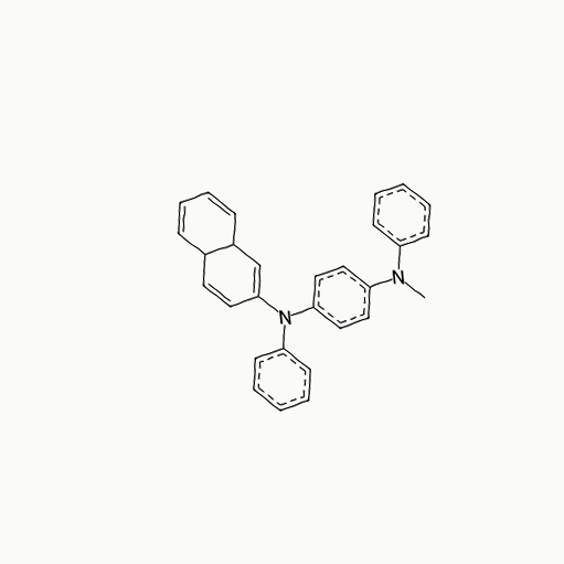 CN(c1ccccc1)c1ccc(N(C2=CC3C=CC=CC3C=C2)c2ccccc2)cc1